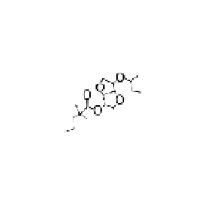 CCCC(C)(C)C(=O)OC1COC2C(OC(C)CC)COC12